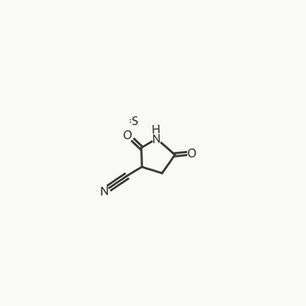 N#CC1CC(=O)NC1=O.[S]